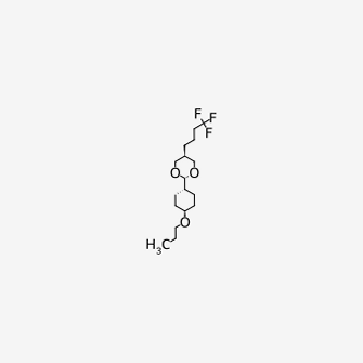 CCCO[C@H]1CC[C@H]([C@H]2OC[C@H](CCCC(F)(F)F)CO2)CC1